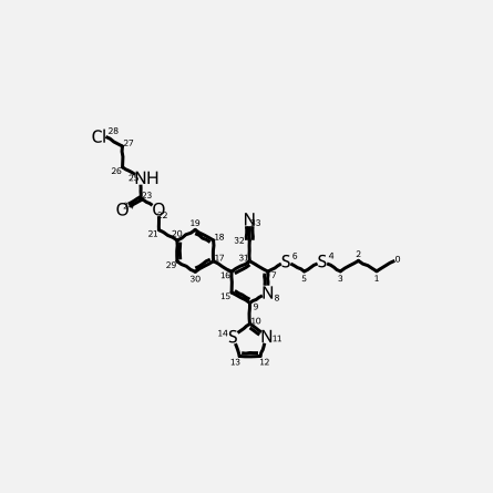 CCCCSCSc1nc(-c2nccs2)cc(-c2ccc(COC(=O)NCCCl)cc2)c1C#N